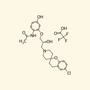 CC(=O)Nc1ccc(O)cc1OC[C@@H](O)CN1CCC2(CCc3cc(Cl)ccc3O2)CC1.O=C(O)C(F)(F)F